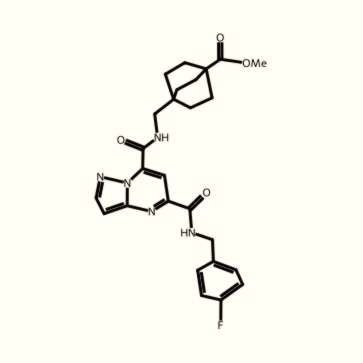 COC(=O)C12CCC(CNC(=O)c3cc(C(=O)NCc4ccc(F)cc4)nc4ccnn34)(CC1)CC2